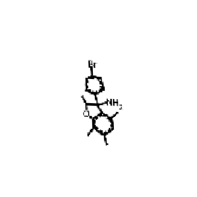 Cc1cc(C)c2c(c1C)OC(C)C2(N)c1ccc(Br)cc1